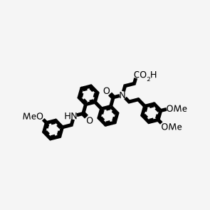 COc1cccc(CNC(=O)c2ccccc2-c2ccccc2C(=O)N(CCC(=O)O)CCc2ccc(OC)c(OC)c2)c1